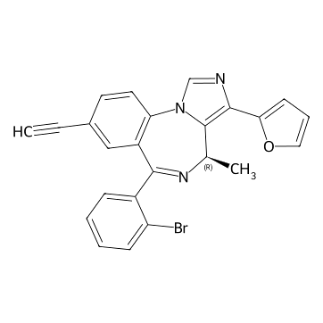 C#Cc1ccc2c(c1)C(c1ccccc1Br)=N[C@H](C)c1c(-c3ccco3)ncn1-2